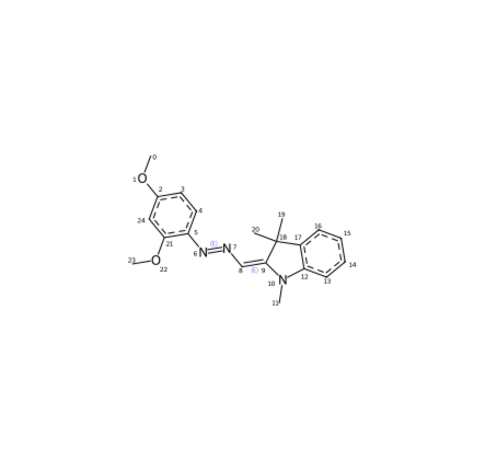 COc1ccc(/N=N/C=C2/N(C)c3ccccc3C2(C)C)c(OC)c1